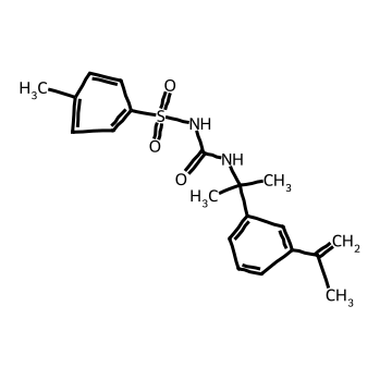 C=C(C)c1cccc(C(C)(C)NC(=O)NS(=O)(=O)c2ccc(C)cc2)c1